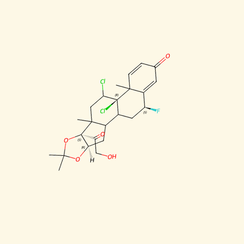 CC1(C)O[C@@H]2CC3C4C[C@H](F)C5=CC(=O)C=CC5(C)[C@@]4(Cl)C(Cl)CC3(C)[C@]2(C(=O)CO)O1